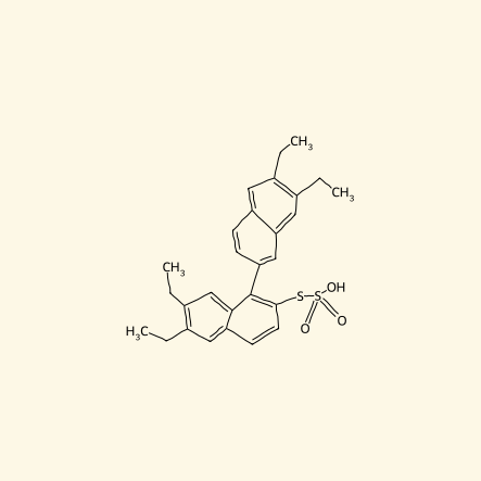 CCc1cc2ccc(-c3c(SS(=O)(=O)O)ccc4cc(CC)c(CC)cc34)cc2cc1CC